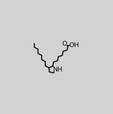 CCCCCCCCC1CCNC1CCCCCCC(=O)O